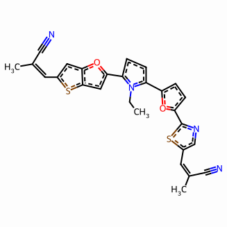 CCn1c(-c2ccc(-c3ncc(/C=C(/C)C#N)s3)o2)ccc1-c1cc2sc(/C=C(/C)C#N)cc2o1